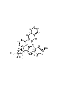 Cc1c(C[N+](C)(C)C)c2ccnc(N3CCc4ccccc4C3)c2n1Cc1cccc(F)c1